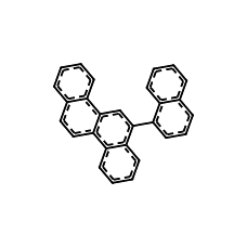 c1ccc2c(-c3cc4c5ccccc5ccc4c4ccccc34)cccc2c1